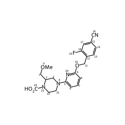 COCC1CN(c2cccc(OCc3ccc(C#N)cc3F)n2)CCN1C(=O)O